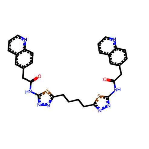 O=C(Cc1ccc2ncccc2c1)Nc1nnc(CCCCc2nnc(NC(=O)Cc3ccc4ncccc4c3)s2)s1